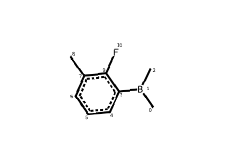 CB(C)c1cccc(C)c1F